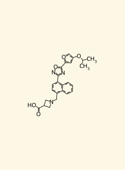 CC(C)Oc1coc(-c2nc(-c3ccc(CN4CC(C(=O)O)C4)c4ccccc34)no2)c1